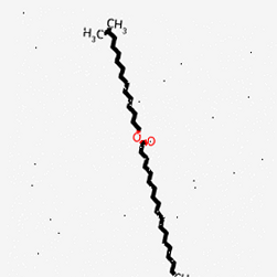 CCCCCCCCCCCCCCCCCCC(=O)OCCCCCCCCCCCCCC(C)C